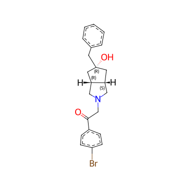 O=C(CN1C[C@@H]2C[C@@](O)(Cc3ccccc3)C[C@@H]2C1)c1ccc(Br)cc1